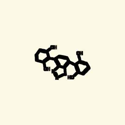 Oc1cccc(O)c1-c1ccc(-c2c(O)cccc2O)c2snnc12